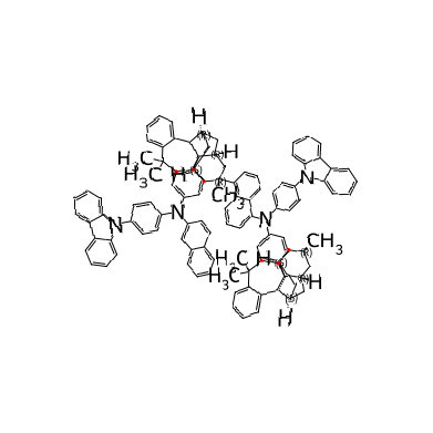 C[C@H]1C[C@@H]2C[C@@H]3C[C@H](C1)C21c2ccc(N(c4ccc(-n5c6ccccc6c6ccccc65)cc4)c4cccc5c([C@@]6(C)C[C@H]7C[C@H]8C[C@@H](C6)C76c7ccc(N(c9ccc(-n%10c%11ccccc%11c%11ccccc%11%10)cc9)c9ccc%10ccccc%10c9)cc7C(C)(C)c7ccccc7C86)cccc45)cc2C(C)(C)c2ccccc2C31